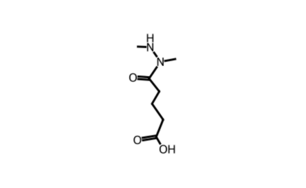 CNN(C)C(=O)CCCC(=O)O